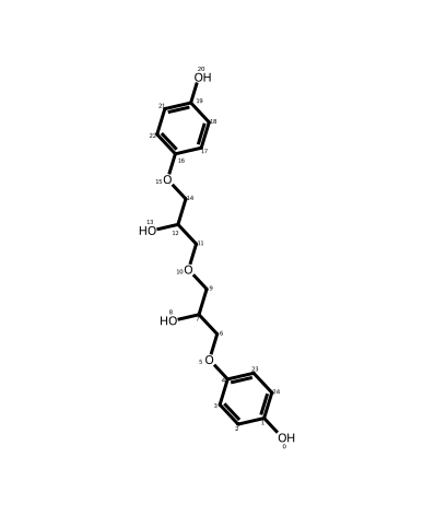 Oc1ccc(OCC(O)COCC(O)COc2ccc(O)cc2)cc1